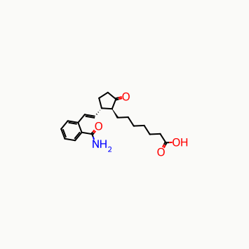 NC(=O)c1ccccc1C=C[C@@H]1CCC(=O)[C@H]1CCCCCCC(=O)O